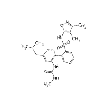 CNC(=O)Nc1cc(CC(C)C)ccc1-c1ccccc1S(=O)(=O)Nc1onc(C)c1C